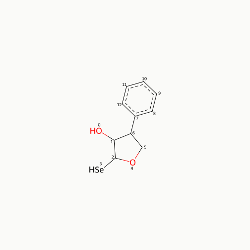 OC1C([SeH])OCC1c1ccccc1